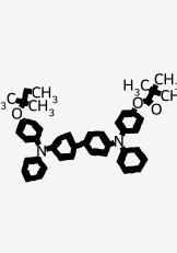 CCC(C)(C)Oc1ccc(N(c2ccccc2)c2ccc(-c3ccc(N(c4ccccc4)c4ccc(OC(=O)C(C)(C)C)cc4)cc3)cc2)cc1